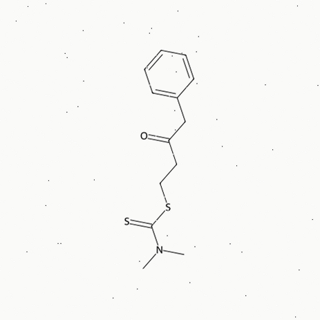 CN(C)C(=S)SCCC(=O)Cc1ccccc1